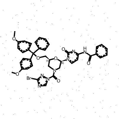 COc1ccc(C(OC[C@@H]2CN(C(=O)n3cnc(Br)n3)C[C@H](n3ccc(NC(=O)c4ccccc4)nc3=O)O2)(c2ccccc2)c2ccc(OC)cc2)cc1